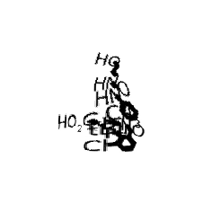 C[C@@H](c1nc2c(Cl)cccc2c(=O)n1-c1cccc(NC(=O)NCCCO)c1)N(C(=O)O)C(C)(C)C